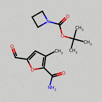 CC(C)(C)OC(=O)N1CCC1.Cc1cc(C=O)oc1C(N)=O